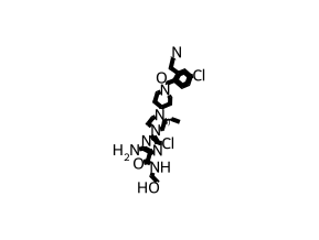 CC[C@H]1CN(c2nc(N)c(C(=O)NCCO)nc2Cl)CCN1C1CCN(C(=O)c2ccc(Cl)cc2CC#N)CC1